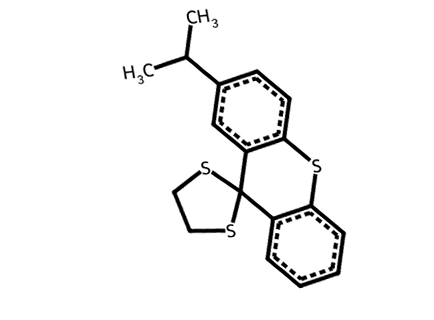 CC(C)c1ccc2c(c1)C1(SCCS1)c1ccccc1S2